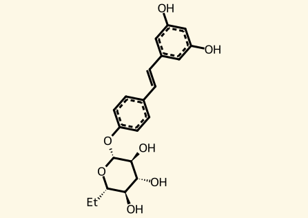 CC[C@@H]1O[C@H](Oc2ccc(/C=C/c3cc(O)cc(O)c3)cc2)[C@@H](O)[C@H](O)[C@H]1O